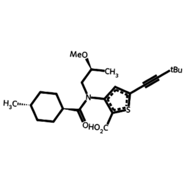 CO[C@@H](C)CN(c1cc(C#CC(C)(C)C)sc1C(=O)O)C(=O)[C@H]1CC[C@H](C)CC1